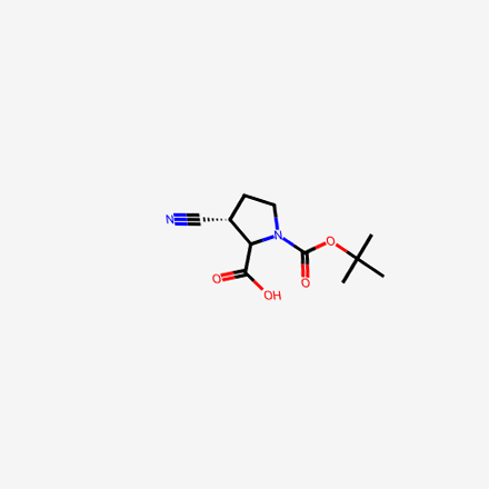 CC(C)(C)OC(=O)N1CC[C@@H](C#N)C1C(=O)O